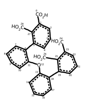 O=C(O)c1cccc(-c2ccccc2Oc2ccccc2-c2cccc(C(=O)O)c2C(=O)O)c1C(=O)O